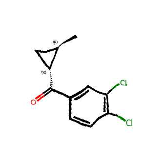 C[C@@H]1C[C@H]1C(=O)c1ccc(Cl)c(Cl)c1